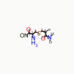 C[C@H](CSCC(N)C(=O)N=O)C(=O)N(C)C